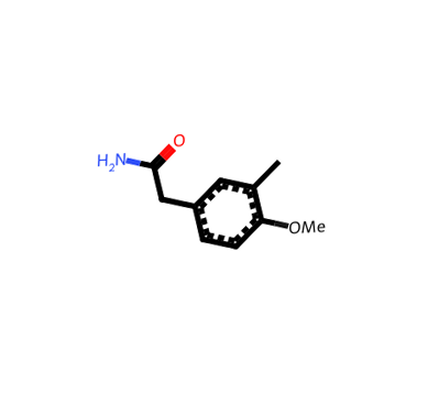 COc1ccc(CC(N)=O)cc1C